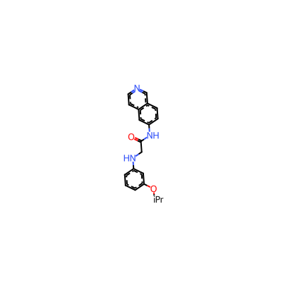 CC(C)Oc1cccc(NCC(=O)Nc2ccc3cnccc3c2)c1